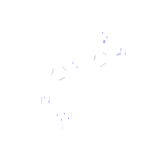 N#Cc1ccc(C2CN(c3cccc(C4CNC5CNNCC5C4)c3)C2)cc1C#N